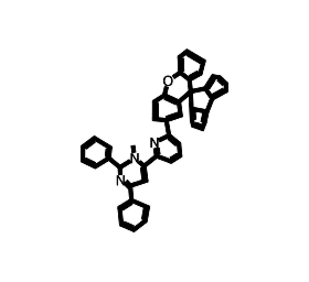 CN1C(c2cccc(-c3ccc4c(c3)C3(c5ccccc5O4)c4ccccc4-c4ccccc43)n2)=CC(c2ccccc2)=NC1c1ccccc1